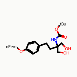 CCCCCOc1ccc(CCC(CO)(CO)NC(=O)OC(C)(C)C)cc1